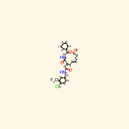 O=C(C[C@@H]1C/C=C/CCC(=O)O[C@H](c2ccccc2)CNC1=O)NCc1ccc(Cl)c(C(F)(F)F)c1